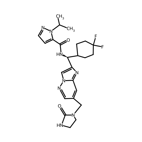 CC(C)n1nccc1C(=O)N[C@H](c1cn2ncc(CN3CCNC3=O)cc2n1)C1CCC(F)(F)CC1